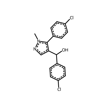 Cn1ncc(C(O)c2ccc(Cl)cc2)c1-c1ccc(Cl)cc1